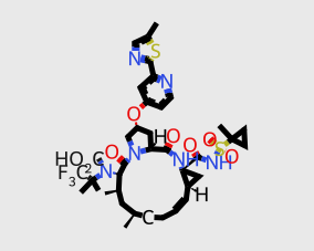 Cc1cnc(-c2cc(O[C@@H]3C[C@H]4C(=O)N[C@]5(C(=O)NS(=O)(=O)C6(C)CC6)C[C@H]5C=CCC[C@@H](C)C[C@@H](C)[C@H](N(C(=O)O)C(C)(C)C(F)(F)F)C(=O)N4C3)ccn2)s1